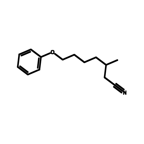 CC(CC#N)CCCCOc1ccccc1